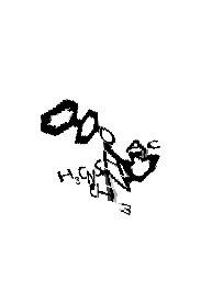 CC(=O)N1CCCC(NSN(C)C)C1COC1CCC(c2ccccc2)CC1